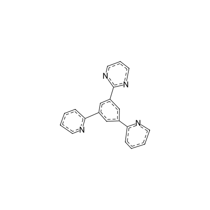 c1ccc(-c2cc(-c3ccccn3)cc(-c3ncccn3)c2)nc1